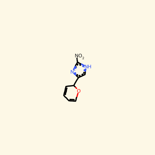 O=[N+]([O-])c1nc(C2C=CC=CO2)c[nH]1